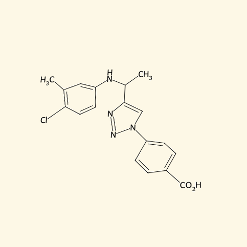 Cc1cc(NC(C)c2cn(-c3ccc(C(=O)O)cc3)nn2)ccc1Cl